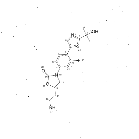 CC(C)(O)c1ncc(-c2ccc(N3C[C@H](CCN)OC3=O)cc2F)s1